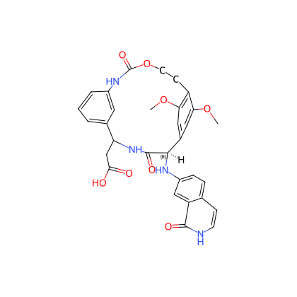 COc1cc2cc(OC)c1CCOC(=O)Nc1cccc(c1)C(CC(=O)O)NC(=O)[C@@H]2Nc1ccc2cc[nH]c(=O)c2c1